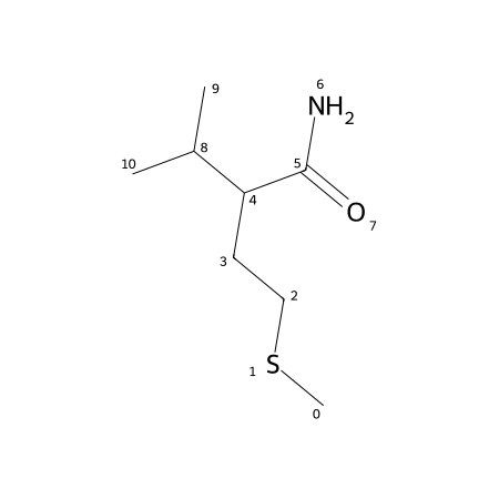 CSCCC(C(N)=O)C(C)C